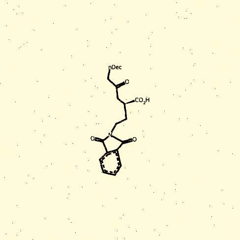 CCCCCCCCCCCC(=O)C[C@H](CCN1C(=O)c2ccccc2C1=O)C(=O)O